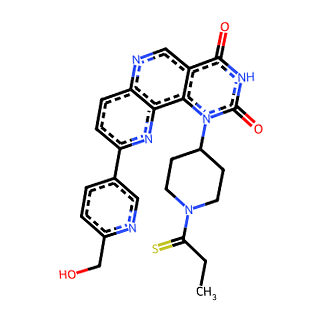 CCC(=S)N1CCC(n2c(=O)[nH]c(=O)c3cnc4ccc(-c5ccc(CO)nc5)nc4c32)CC1